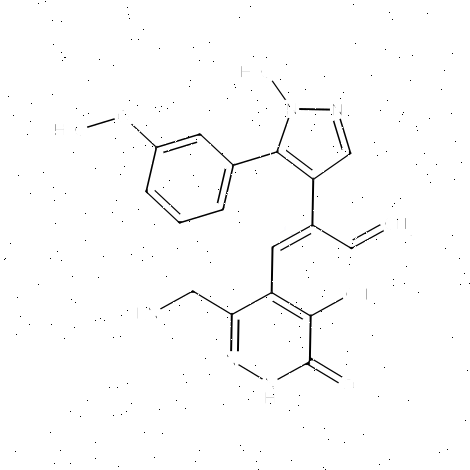 C=C/C(=C\c1c(CN)n[nH]c(=O)c1C)c1cnn(C)c1-c1cccc(OC)c1